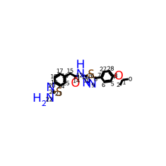 CC(C)Oc1ccc(-c2nnc(NC(=O)Cc3ccc4nc(N)sc4c3)s2)cc1